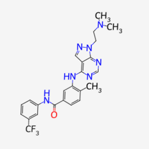 Cc1ccc(C(=O)Nc2cccc(C(F)(F)F)c2)cc1Nc1ncnc2c1cnn2CCN(C)C